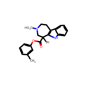 Cc1cccc(OC(=O)C2(C(C)C)CN(C(=O)O)CCc3c2[nH]c2ccccc32)c1